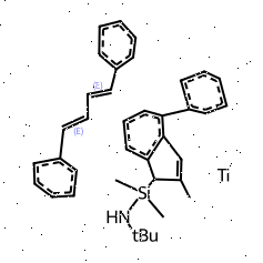 C(/C=C/c1ccccc1)=C\c1ccccc1.CC1=Cc2c(-c3ccccc3)cccc2C1[Si](C)(C)NC(C)(C)C.[Ti]